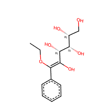 CCOC(=C(O)[C@H](O)[C@@H](O)[C@H](O)CO)c1ccccc1